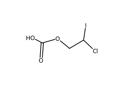 O=C(O)OCC(Cl)I